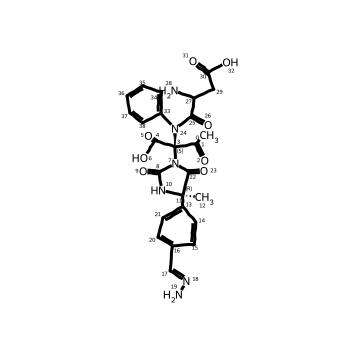 CC(=O)[C@@](C(=O)O)(N1C(=O)N[C@](C)(c2ccc(C=NN)cc2)C1=O)N(C(=O)C(N)CC(=O)O)c1ccccc1